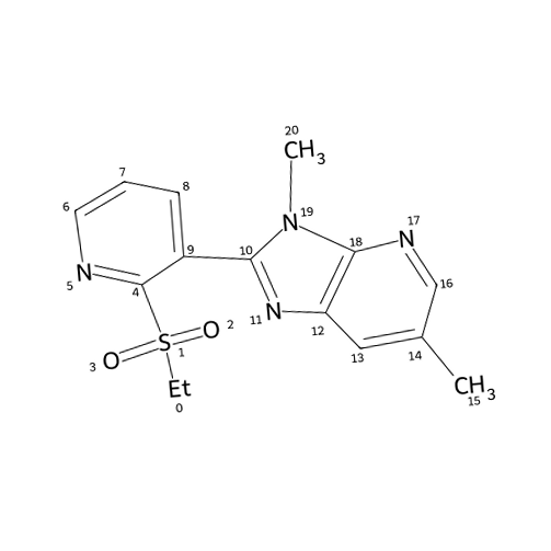 CCS(=O)(=O)c1ncccc1-c1nc2cc(C)cnc2n1C